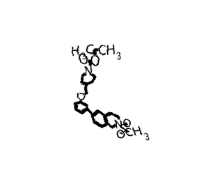 CC(C)OC(=O)N1CCC(COc2cccc(-c3ccc4c(c3)CCN(S(C)(=O)=O)C4)c2)CC1